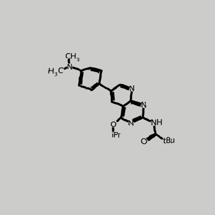 CC(C)Oc1nc(NC(=O)C(C)(C)C)nc2ncc(-c3ccc(N(C)C)cc3)cc12